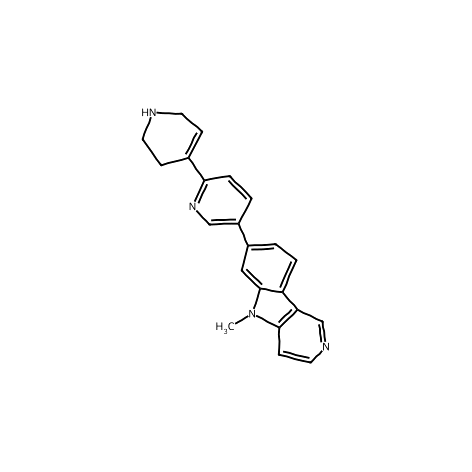 Cn1c2ccncc2c2ccc(-c3ccc(C4=CCNCC4)nc3)cc21